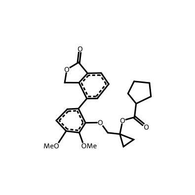 COc1ccc(-c2cccc3c2COC3=O)c(OCC2(OC(=O)C3CCCC3)CC2)c1OC